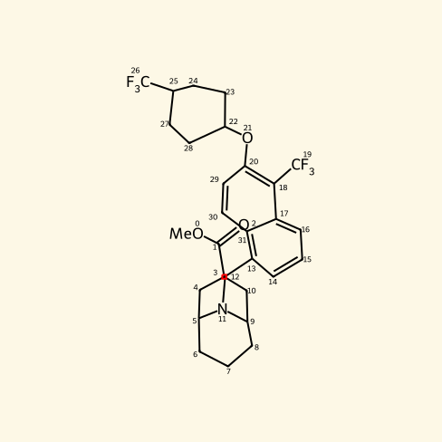 COC(=O)C1CC2CCCC(C1)N2Cc1cccc2c(C(F)(F)F)c(OC3CCC(C(F)(F)F)CC3)ccc12